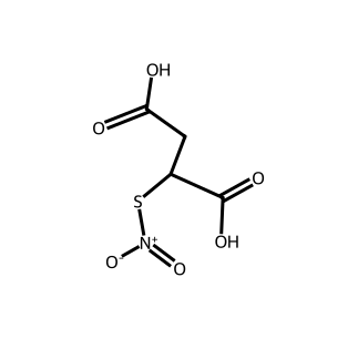 O=C(O)CC(S[N+](=O)[O-])C(=O)O